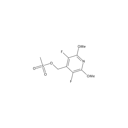 COc1nc(OC)c(F)c(COS(C)(=O)=O)c1F